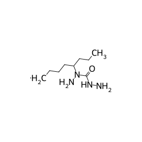 [CH2]CCCC(CCC)N(N)C(=O)NN